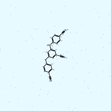 N#Cc1ccc(Cc2cc(C#N)cc(Nc3ccc(C#N)cc3)c2)cc1